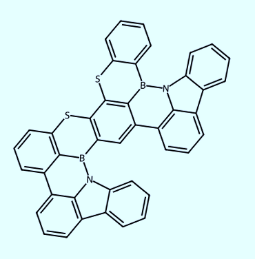 c1ccc2c(c1)Sc1c3c(cc4c1B2n1c2ccccc2c2cccc-4c21)B1c2c(cccc2-c2cccc4c5ccccc5n1c24)S3